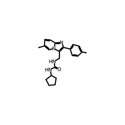 Cc1ccc(-c2nc3ccc(C)cn3c2CNC(=O)NC2CCCC2)cc1